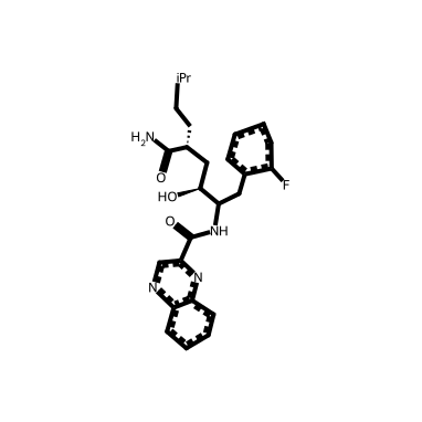 CC(C)CC[C@H](C[C@H](O)C(Cc1ccccc1F)NC(=O)c1cnc2ccccc2n1)C(N)=O